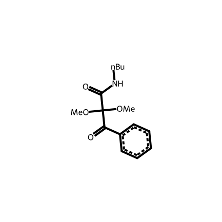 CCCCNC(=O)C(OC)(OC)C(=O)c1ccccc1